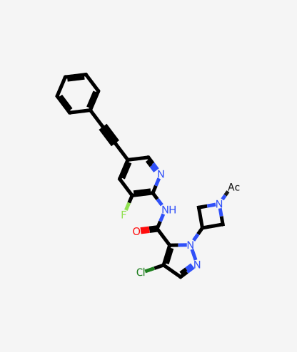 CC(=O)N1CC(n2ncc(Cl)c2C(=O)Nc2ncc(C#Cc3ccccc3)cc2F)C1